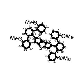 COc1ccccc1-c1cccc(-c2ccccc2OC)c1-c1cc2sc3cc(-c4c(-c5ccccc5OC)cccc4-c4ccccc4OC)sc3c2s1